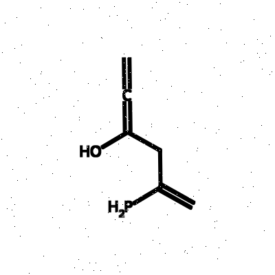 C=C=C(O)CC(=C)P